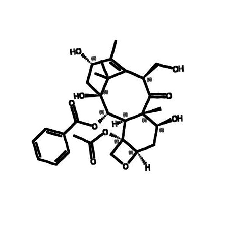 CC(=O)O[C@@]12CO[C@@H]1C[C@H](O)[C@@]1(C)C(=O)[C@H](CO)C3=C(C)[C@@H](O)C[C@@](O)([C@@H](OC(=O)c4ccccc4)[C@H]21)C3(C)C